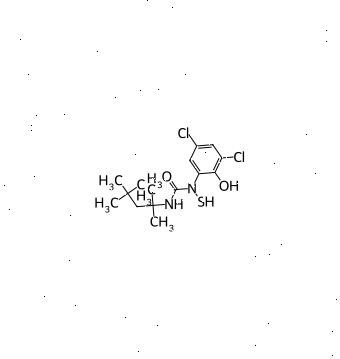 CC(C)(C)CC(C)(C)NC(=O)N(S)c1cc(Cl)cc(Cl)c1O